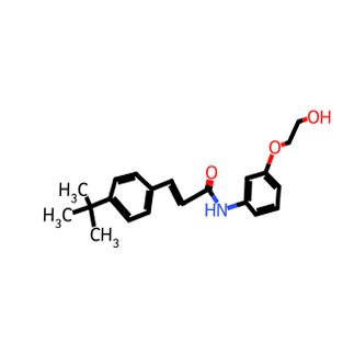 CC(C)(C)c1ccc(C=CC(=O)Nc2cccc(OCCO)c2)cc1